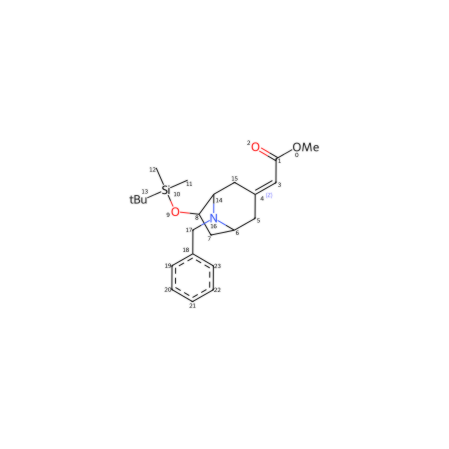 COC(=O)/C=C1/CC2CC(O[Si](C)(C)C(C)(C)C)C(C1)N2Cc1ccccc1